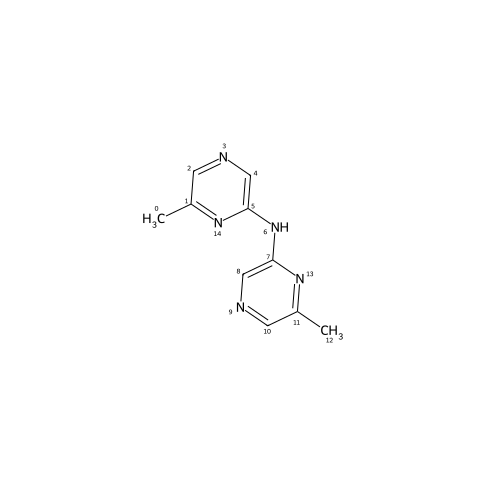 Cc1cncc(Nc2cncc(C)n2)n1